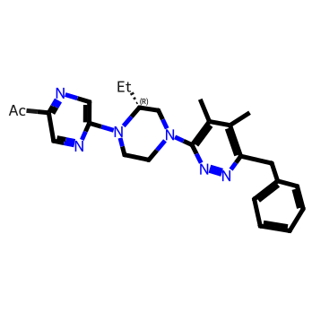 CC[C@@H]1CN(c2nnc(Cc3ccccc3)c(C)c2C)CCN1c1cnc(C(C)=O)cn1